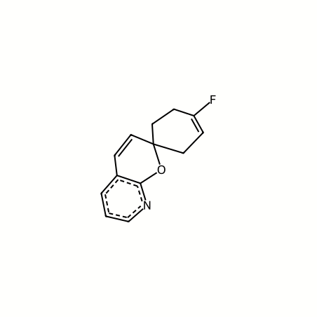 FC1=CCC2(C=Cc3cccnc3O2)CC1